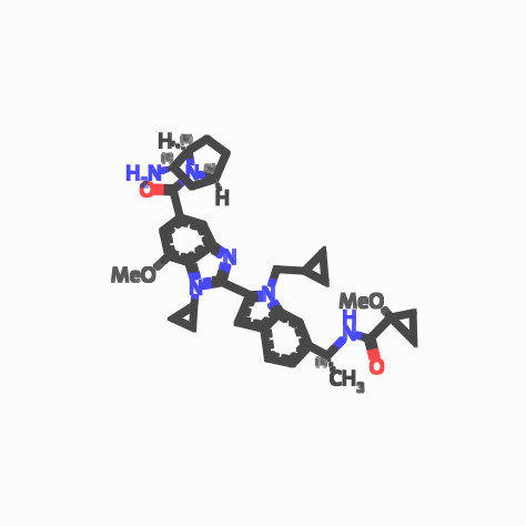 COc1cc(C(=O)N2[C@H]3CC[C@@H]2[C@H](N)C3)cc2nc(-c3cc4ccc([C@@H](C)NC(=O)C5(OC)CC5)cc4n3CC3CC3)n(C3CC3)c12